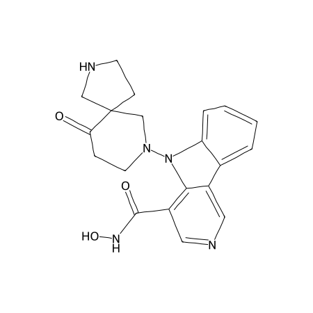 O=C(NO)c1cncc2c3ccccc3n(N3CCC(=O)C4(CCNC4)C3)c12